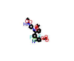 COC(=O)COc1ccc(C#N)c(-c2cc(C(CN(C(=O)OC(C)(C)C)C3CCC(NC(=O)OC(C)(C)C)CC3)c3ccccc3)cc(F)c2Cl)c1F